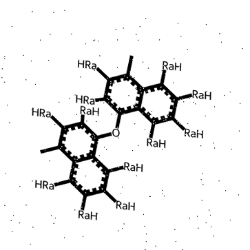 Cc1[c]([RaH])[c]([RaH])c(Oc2[c]([RaH])[c]([RaH])c(C)c3[c]([RaH])[c]([RaH])[c]([RaH])[c]([RaH])c23)c2[c]([RaH])[c]([RaH])[c]([RaH])[c]([RaH])c12